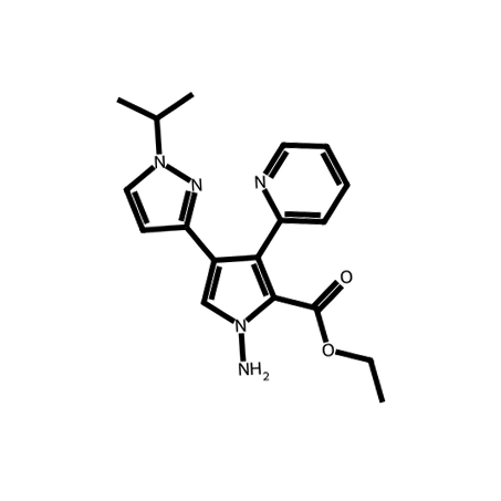 CCOC(=O)c1c(-c2ccccn2)c(-c2ccn(C(C)C)n2)cn1N